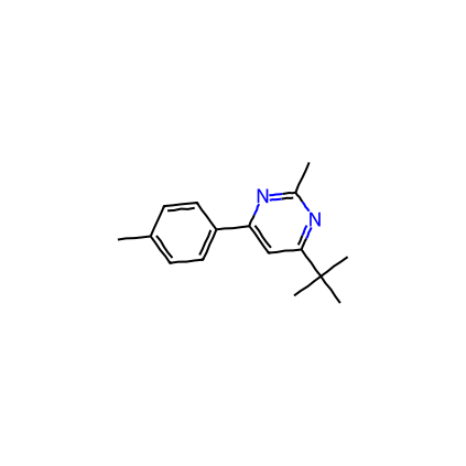 Cc1ccc(-c2cc(C(C)(C)C)nc(C)n2)cc1